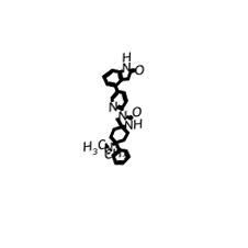 CN(C)C1(c2ccccc2)CCC2(CC1)CN(c1ccc(-c3cccc4c3CC(=O)N4)cn1)C(=O)N2